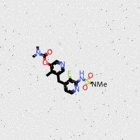 CNS(=O)(=O)Nc1nccc(Cc2cncc(OC(=O)N(C)C)c2C)c1F